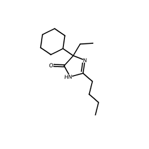 CCCCC1=NC(CC)(C2CCCCC2)C(=O)N1